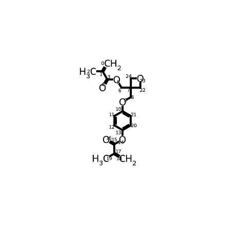 C=C(C)C(=O)OCC1(COc2ccc(OC(=O)C(=C)C)cc2)COC1